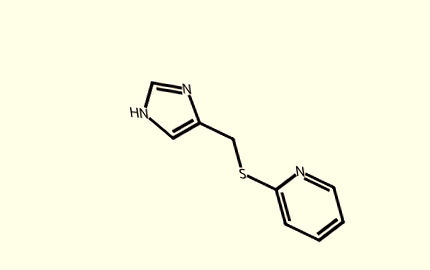 c1ccc(SCc2c[nH]cn2)nc1